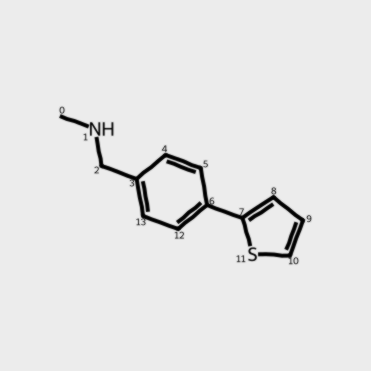 CNCc1ccc(-c2cccs2)cc1